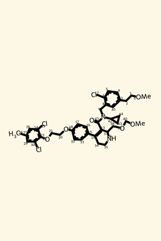 COCCc1ccc(Cl)c(CN(C(=O)C2=C(c3ccc(OCCOc4c(Cl)cc(C)cc4Cl)cc3)CCNC2COCOC)C2CC2)c1